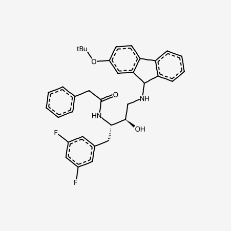 CC(C)(C)Oc1ccc2c(c1)C(NC[C@@H](O)[C@H](Cc1cc(F)cc(F)c1)NC(=O)Cc1ccccc1)c1ccccc1-2